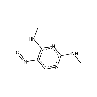 CNc1ncc(N=O)c(NC)n1